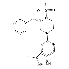 Cc1n[nH]c2cnc(N3CCN(S(C)(=O)=O)[C@@H](Cc4ccccc4)C3)cc12